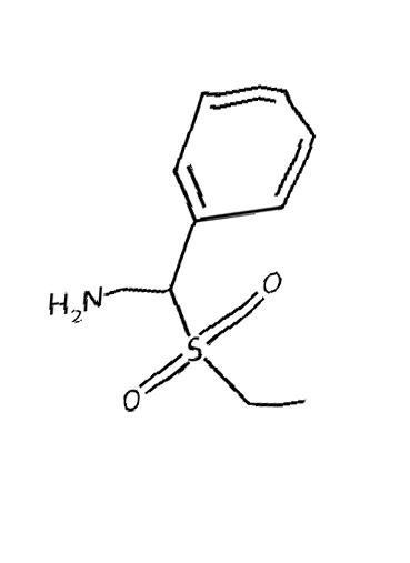 CCS(=O)(=O)C(N)c1ccccc1